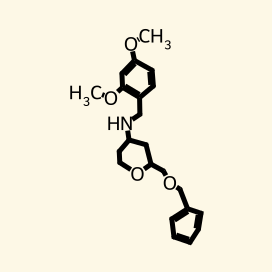 COc1ccc(CNC2CCOC(COCc3ccccc3)C2)c(OC)c1